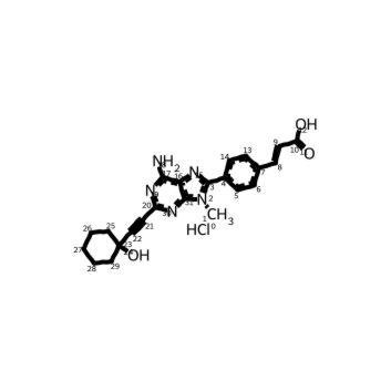 Cl.Cn1c(-c2ccc(/C=C/C(=O)O)cc2)nc2c(N)nc(C#CC3(O)CCCCC3)nc21